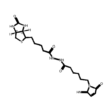 N=C1C=CC(=O)N1CCCCCC(=O)NNC(=O)CCCCC1SC[C@@H]2NC(=O)N[C@H]12